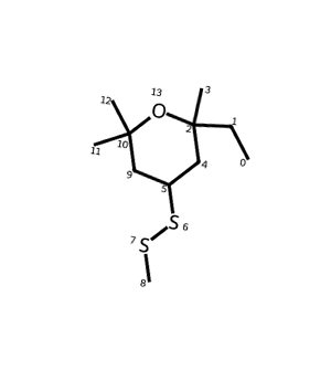 CCC1(C)CC(SSC)CC(C)(C)O1